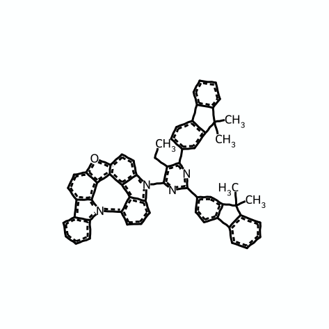 CCc1c(-c2ccc3c(c2)C(C)(C)c2ccccc2-3)nc(-c2ccc3c(c2)C(C)(C)c2ccccc2-3)nc1-n1c2ccc3oc4ccc5c6ccccc6n6c7cccc1c7c2c3c4c56